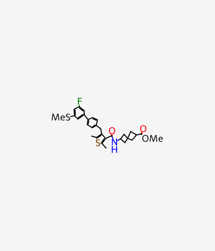 COC(=O)C1CC2(CC(NC(=O)c3c(C)sc(C)c3Cc3ccc(-c4cc(F)cc(SC)c4)cc3)C2)C1